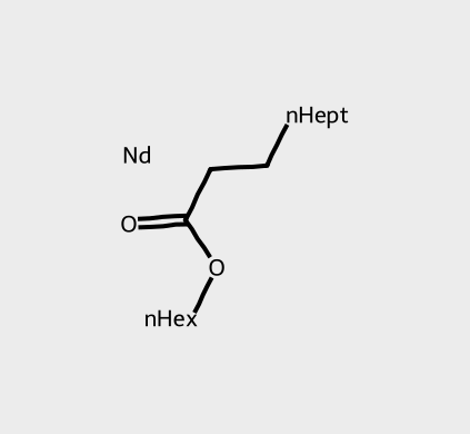 CCCCCCCCCC(=O)OCCCCCC.[Nd]